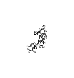 CC(=Nc1c(C)cccc1C)c1cccc(C(C)=Nc2c(C)cc(C)cc2Br)n1